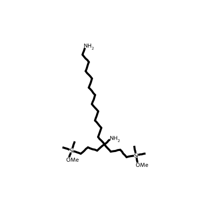 CO[Si](C)(C)CCCC(N)(CCCCCCCCCCCN)CCC[Si](C)(C)OC